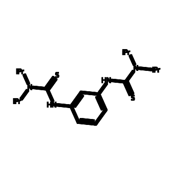 CC(C)N(C(=S)Nc1cccc(NC(=S)N(C(C)C)C(C)C)c1)C(C)C